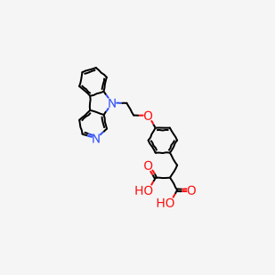 O=C(O)C(Cc1ccc(OCCn2c3ccccc3c3ccncc32)cc1)C(=O)O